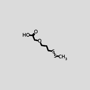 CSSCCCOCC(=O)O